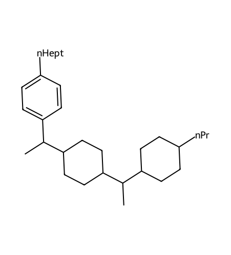 CCCCCCCc1ccc(C(C)C2CCC(C(C)C3CCC(CCC)CC3)CC2)cc1